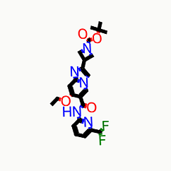 CCOc1cc2nc(C3CN(C(=O)OC(C)(C)C)C3)cn2cc1C(=O)Nc1cccc(C(F)F)n1